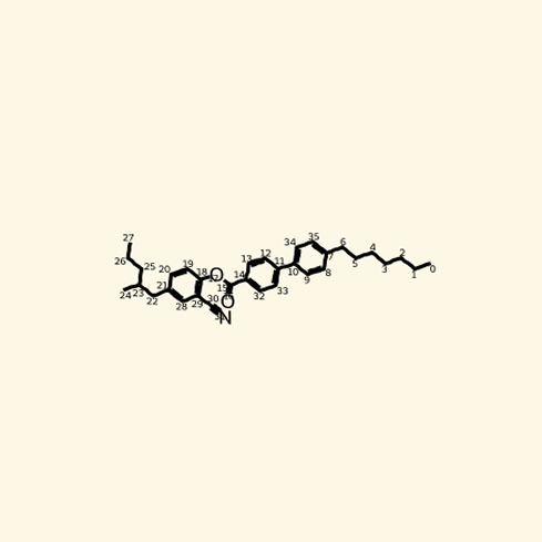 CCCCCCCc1ccc(-c2ccc(C(=O)Oc3ccc(CC(C)CCC)cc3C#N)cc2)cc1